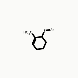 CC(=O)SC1CCCC=C1C(=O)O